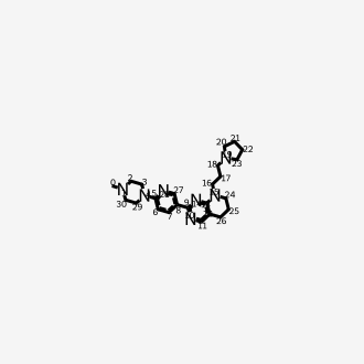 CN1CCN(c2ccc(-c3ncc4c(n3)N(CCCN3CCCC3)CCC4)cn2)CC1